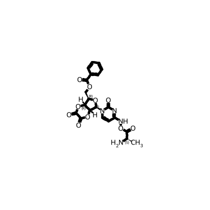 C[C@H](N)C(=O)ONc1ccn([C@@H]2O[C@H](COC(=O)c3ccccc3)[C@H]3OC(=O)C(=O)O[C@H]32)c(=O)n1